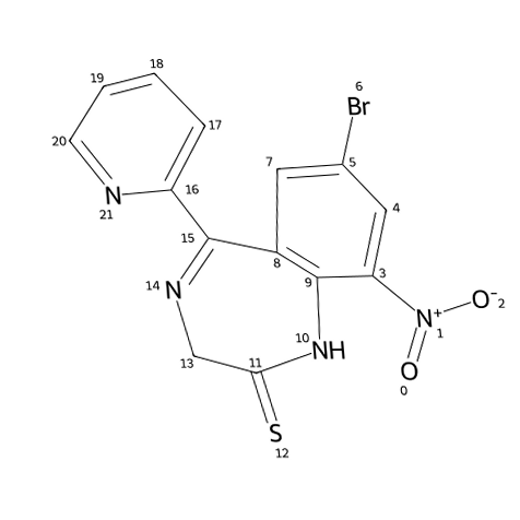 O=[N+]([O-])c1cc(Br)cc2c1NC(=S)CN=C2c1ccccn1